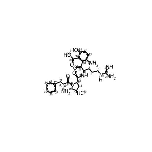 Cl.N=C(N)NCCCC(NC(=O)C1CCCN1C(=O)[C@H](N)Cc1ccccc1)C(=O)c1c(N)ccc(O)c1C(=O)O